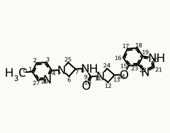 Cc1ccc(N2CC(NC(=O)N3CC(Oc4cccc5[nH]cnc45)C3)C2)nc1